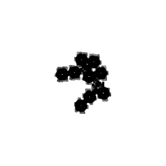 c1ccc(-c2ccc(-c3nc(-n4c5ccccc5c5c6c7c8ccccc8c8ccccc8c7n(-c7ccc(-c8ccccc8)cc7)c6ccc54)nc4ccccc34)cc2)cc1